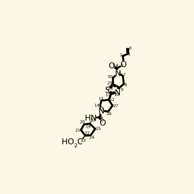 C=CCOC(=O)N1CCc2nc(C3CCN(C(=O)N[C@H]4CC[C@H](C(=O)O)CC4)CC3)sc2C1